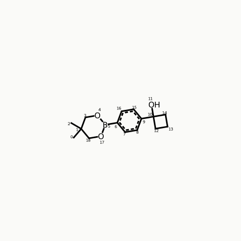 CC1(C)COB(c2ccc(C3(O)CCC3)cc2)OC1